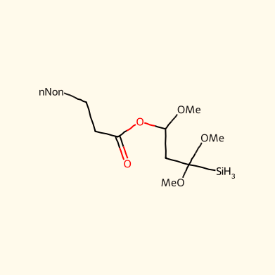 CCCCCCCCCCCC(=O)OC(CC([SiH3])(OC)OC)OC